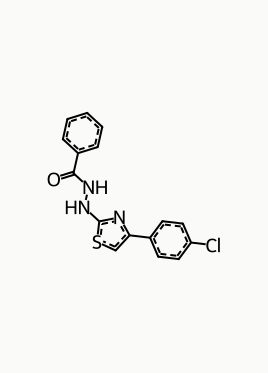 O=C(NNc1nc(-c2ccc(Cl)cc2)cs1)c1ccccc1